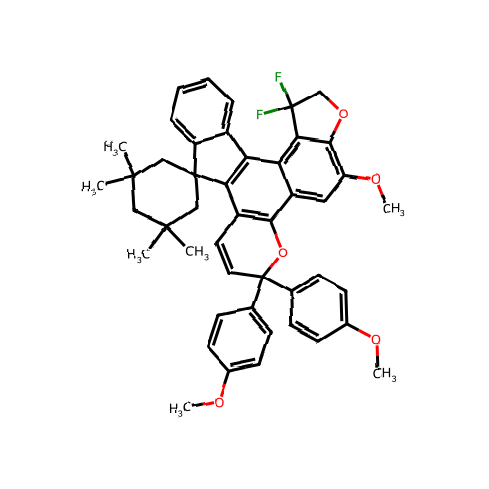 COc1ccc(C2(c3ccc(OC)cc3)C=Cc3c4c(c5c6c(c(OC)cc5c3O2)OCC6(F)F)-c2ccccc2C42CC(C)(C)CC(C)(C)C2)cc1